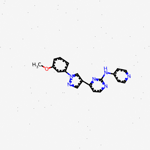 COc1cccc(-n2cc(-c3ccnc(Nc4ccncc4)n3)cn2)c1